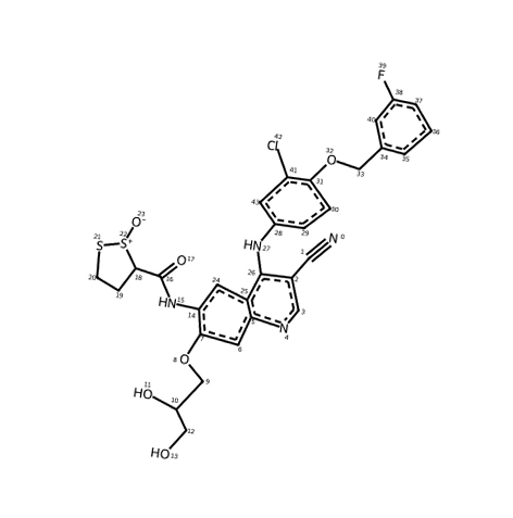 N#Cc1cnc2cc(OCC(O)CO)c(NC(=O)C3CCS[S+]3[O-])cc2c1Nc1ccc(OCc2cccc(F)c2)c(Cl)c1